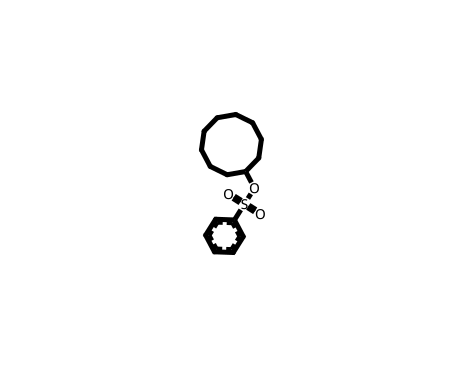 O=S(=O)(OC1CCCCCCCCC1)c1ccccc1